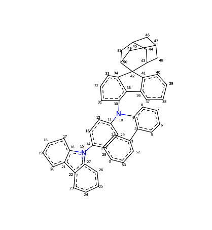 c1ccc(-c2ccccc2N(c2ccc(-n3c4ccccc4c4ccccc43)cc2)c2cccc3c2-c2ccccc2C32C3CC4CC(C3)CC2C4)cc1